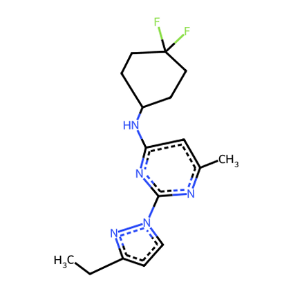 CCc1ccn(-c2nc(C)cc(NC3CCC(F)(F)CC3)n2)n1